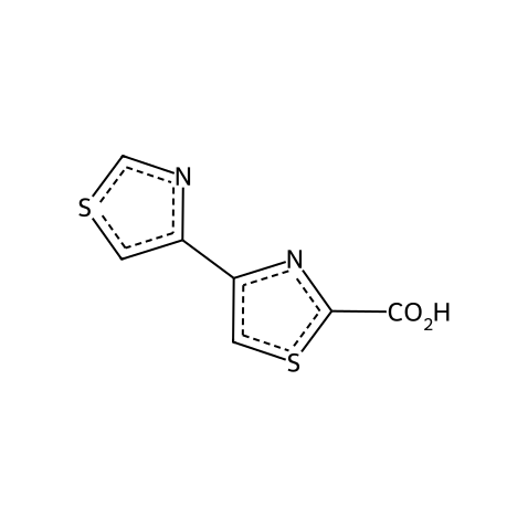 O=C(O)c1nc(-c2cscn2)cs1